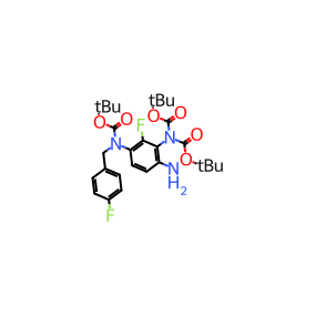 CC(C)(C)OC(=O)N(Cc1ccc(F)cc1)c1ccc(N)c(N(C(=O)OC(C)(C)C)C(=O)OC(C)(C)C)c1F